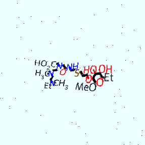 CCC1O[C@H](OC)C(OCCCSCCNC(=O)CN(CCN(C)CCN(C)CC)CC(=O)O)[C@@H](O)[C@@H]1O